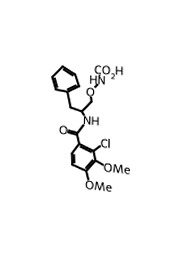 COc1ccc(C(=O)NC(CONC(=O)O)Cc2ccccc2)c(Cl)c1OC